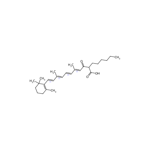 CCCCCCC(C(=O)O)C(=O)/C=C(C)/C=C/C=C(C)/C=C/C1=C(C)CCCC1(C)C